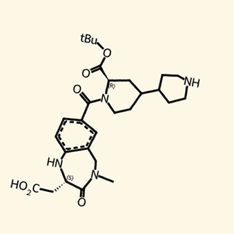 CN1Cc2cc(C(=O)N3CCC(C4CCNCC4)C[C@@H]3C(=O)OC(C)(C)C)ccc2N[C@@H](CC(=O)O)C1=O